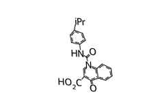 CC(C)c1ccc(NC(=O)n2cc(C(=O)O)c(=O)c3ccccc32)cc1